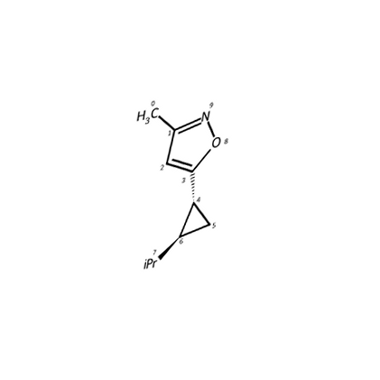 Cc1cc([C@@H]2C[C@H]2C(C)C)on1